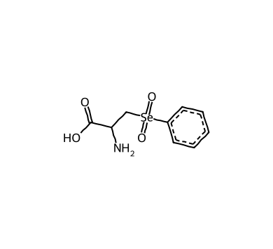 NC(C[Se](=O)(=O)c1ccccc1)C(=O)O